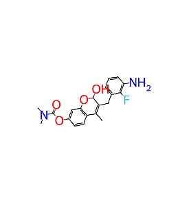 CC1=C(Cc2cccc(N)c2F)C(O)Oc2cc(OC(=O)N(C)C)ccc21